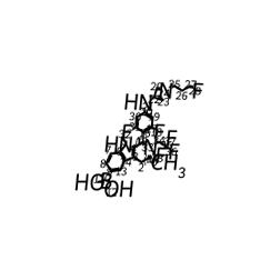 C[C@@H]1Cc2c([nH]c3ccc(B(O)O)cc23)[C@@H](c2c(F)cc(NC3CN(CCCF)C3)cc2F)N1CC(F)(F)F